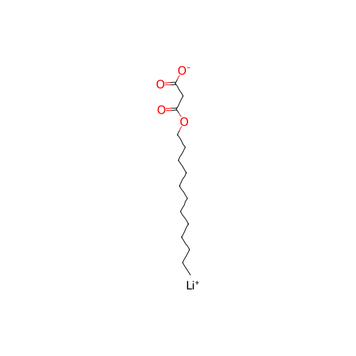 CCCCCCCCCCCCOC(=O)CC(=O)[O-].[Li+]